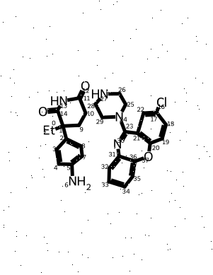 CCC1(c2ccc(N)cc2)CCC(=O)NC1=O.Clc1ccc2c(c1)C(N1CCNCC1)=Nc1ccccc1O2